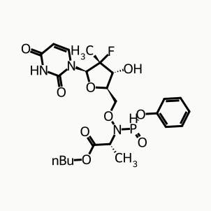 CCCCOC(=O)[C@@H](C)N(OC[C@H]1O[C@@H](n2ccc(=O)[nH]c2=O)[C@](C)(F)[C@@H]1O)[PH](=O)Oc1ccccc1